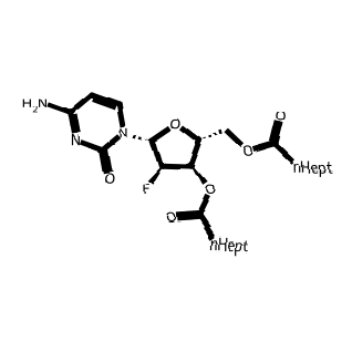 CCCCCCCC(=O)OC[C@H]1O[C@@H](n2ccc(N)nc2=O)[C@H](F)[C@@H]1OC(=O)CCCCCCC